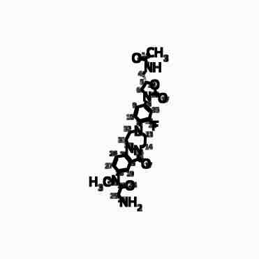 CC(=O)NC[C@H]1CN(c2ccc(N3CCn4c(=O)c5cc(N(C)C(=O)CN)ccc5n4CC3)c(F)c2)C(=O)O1